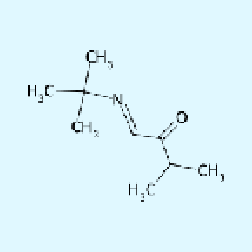 CC(C)C(=O)/C=N/C(C)(C)C